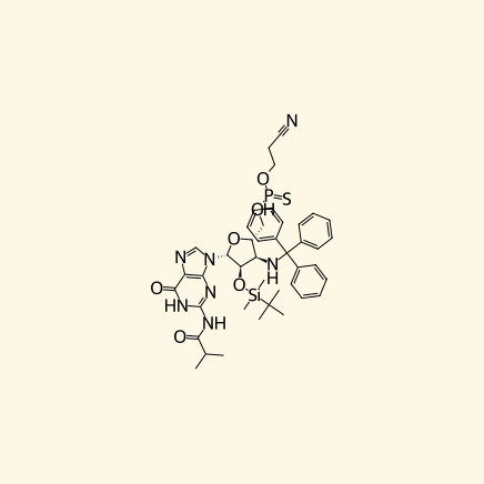 CC(C)C(=O)Nc1nc2c(ncn2[C@@H]2O[C@H](CO[PH](=S)OCCC#N)[C@@H](NC(c3ccccc3)(c3ccccc3)c3ccccc3)[C@H]2O[Si](C)(C)C(C)(C)C)c(=O)[nH]1